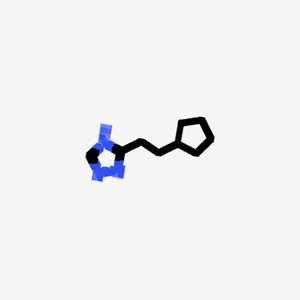 c1nnc(CCC2CCCC2)[nH]1